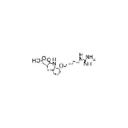 N=C(N)NCCCCCOc1cccc2c1NC(=O)C(CC(=O)O)C2